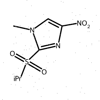 CC(C)S(=O)(=O)c1nc([N+](=O)[O-])cn1C